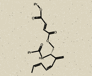 C=C(/C=C\C=C/C)[C@@H](COC(=O)/C=C/C(=O)OC(C)C)NC(=O)C(C)C